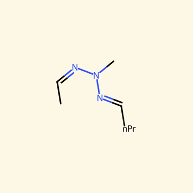 C/C=N\N(C)/N=C/CCC